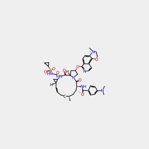 C[C@H]1CCC=C[C@@H]2C[C@@]2(C(=O)NS(=O)(=O)C2CC2)NC(=O)[C@@H]2C[C@@H](Oc3nccc4c5c(ccc34)N(C)CCO5)CN2C(=O)[C@@H](NC(=O)c2ccc(N(C)C)cc2)[C@H](C)C1